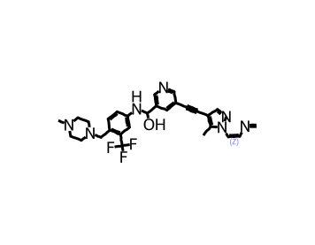 C=N/C=C\n1ncc(C#Cc2cncc(C(O)Nc3ccc(CN4CCN(C)CC4)c(C(F)(F)F)c3)c2)c1C